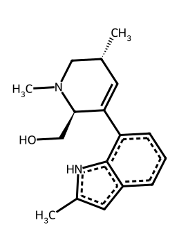 Cc1cc2cccc(C3=C[C@@H](C)CN(C)[C@@H]3CO)c2[nH]1